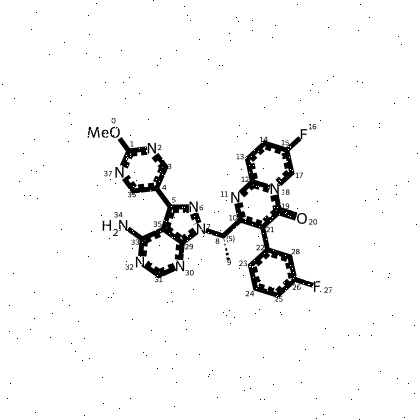 COc1ncc(-c2nn([C@@H](C)c3nc4ccc(F)cn4c(=O)c3-c3cccc(F)c3)c3ncnc(N)c23)cn1